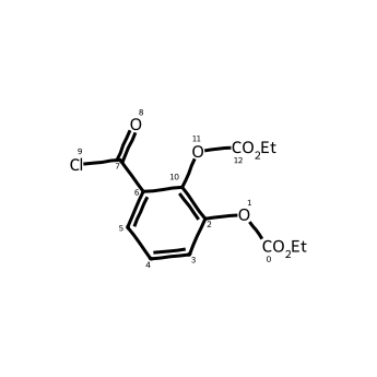 CCOC(=O)Oc1cccc(C(=O)Cl)c1OC(=O)OCC